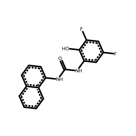 O=C(Nc1cc(F)cc(F)c1O)Nc1cccc2ccccc12